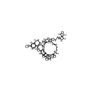 CN1CC/C=C/[C@H](OCCN2CCC23COC3)[C@@H]2CC[C@H]2CN2C[C@@]3(CCCc4cc(Cl)ccc43)COc3ccc(cc32)[C@@](O)(C(=O)O)CC1=O